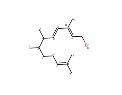 CC(C)=CCCC(C)C(C)C=CC(C)=CCBr